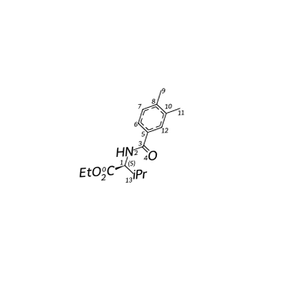 CCOC(=O)[C@@H](NC(=O)c1ccc(C)c(C)c1)C(C)C